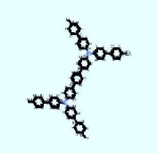 CCc1ccc(-c2ccc(N(c3ccc(-c4ccc(C)cc4)cc3)c3ccc(-c4ccc(-c5ccc(N(c6ccc(-c7ccc(C)cc7)cc6)c6ccc(-c7ccc(C)cc7)cc6)cc5)cc4)cc3)cc2)cc1